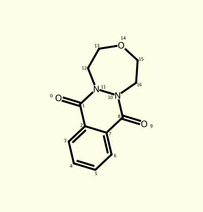 O=c1c2ccccc2c(=O)n2n1CCOCC2